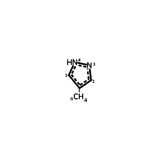 C.c1cn[nH]c1